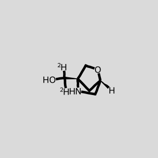 [2H]C([2H])(O)[C@]12CO[C@H](CN1)C2